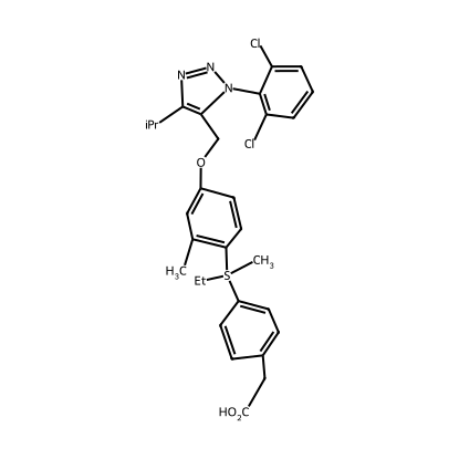 CCS(C)(c1ccc(CC(=O)O)cc1)c1ccc(OCc2c(C(C)C)nnn2-c2c(Cl)cccc2Cl)cc1C